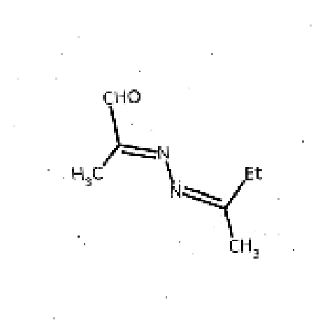 CC/C(C)=N\N=C(/C)C=O